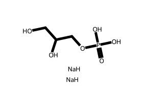 O=P(O)(O)OCC(O)CO.[NaH].[NaH]